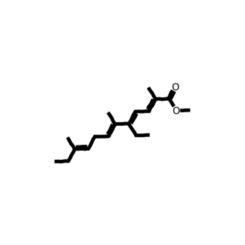 CC/C(C)=C/C/C=C(C)/C(=C/C=C(\C)C(=O)OC)CC